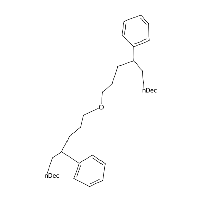 CCCCCCCCCCCC(CCCOCCCC(CCCCCCCCCCC)c1ccccc1)c1ccccc1